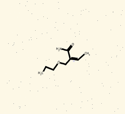 C/C=C(/COCCC)C(N)=O